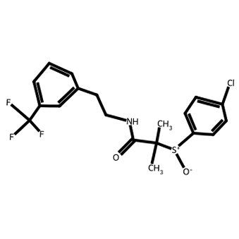 CC(C)(C(=O)NCCc1cccc(C(F)(F)F)c1)[S+]([O-])c1ccc(Cl)cc1